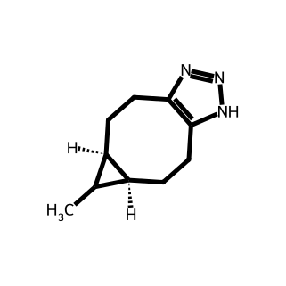 CC1[C@H]2CCc3nn[nH]c3CC[C@@H]12